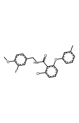 COc1ccc(CNC(=O)c2c(Cl)cccc2Oc2cccc(C)c2)cc1F